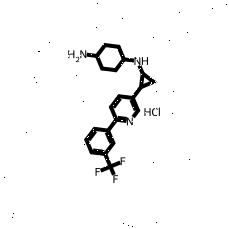 Cl.NC1CCC(NC2CC2c2ccc(-c3cccc(C(F)(F)F)c3)nc2)CC1